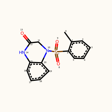 Cc1ccccc1S(=O)(=O)N1CC(=O)Nc2ccccc21